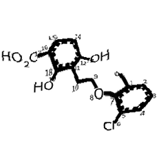 Cc1cccc(Cl)c1OCCc1c(O)ccc(C(=O)O)c1O